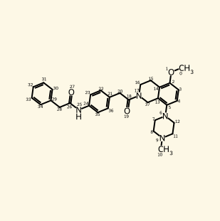 COc1ccc(N2CCN(C)CC2)c2c1CCN(C(=O)Cc1ccc(NC(=O)Cc3ccccc3)cc1)C2